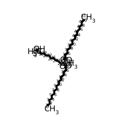 CCCCCCCCCCCCCCCCCC(=O)O[Si](C)(CCCCCCCCCC)OC(=O)CCCCCCCCCCCCCCCCC.OC=S